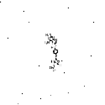 Nc1nc(N)c2nc(CNc3ccc(CCC(=O)N[C@@H](CCC(=O)O)C(=O)O)cc3)cnc2n1